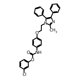 Cc1nc(-c2ccccc2)c(-c2ccccc2)n1CCOc1ccc(NC(=O)Oc2cccc(Cl)c2)cc1